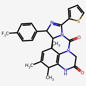 CC1=CC2(C)C3=C(NC(=O)CN3C(=O)N3C(c4cccs4)=NC(c4ccc(C(F)(F)F)cc4)C32)C1C